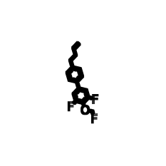 C=CCCc1ccc(-c2cc(F)c(OCF)c(F)c2)cc1